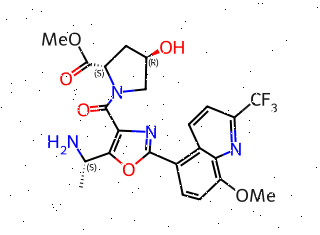 COC(=O)[C@@H]1C[C@@H](O)CN1C(=O)c1nc(-c2ccc(OC)c3nc(C(F)(F)F)ccc23)oc1[C@H](C)N